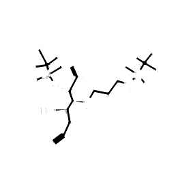 C#CC[C@@H](O)[C@H](OCCCO[Si](C)(C)C(C)(C)C)[C@@H](C=C)O[Si](C)(C)C(C)(C)C